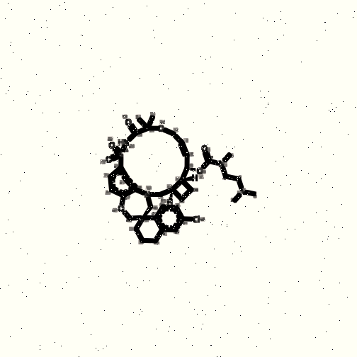 CN(C)CCN(C)C(=O)O[C@H]1C=CCOC(C)(C)C(=O)NS(=O)(=O)c2ccc3c(c2)N(C[C@@H]2CC[C@H]21)C[C@@]1(CCCc2cc(Cl)ccc21)CO3